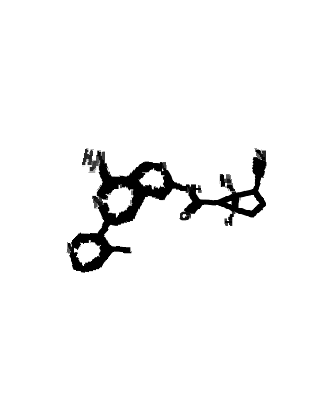 Cc1ccncc1-c1cc2cc(NC(=O)C3[C@H]4C(C#N)CC[C@@H]34)ncc2c(N)n1